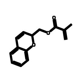 C=C(C)C(=O)OCC1C=Cc2ccccc2O1